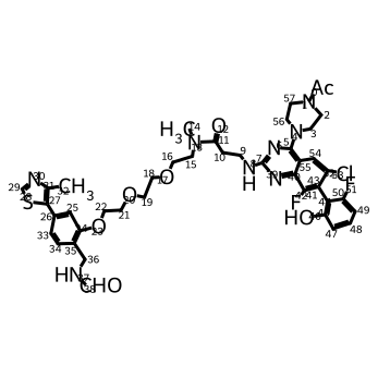 CC(=O)N1CCN(c2nc(NCCC(=O)N(C)CCOCCOCCOc3cc(-c4scnc4C)ccc3CNC=O)nc3c(F)c(-c4c(O)cccc4F)c(Cl)cc23)CC1